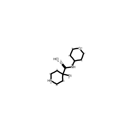 CCC1(C(=O)NC2CCOCC2)CCNCC1.Cl